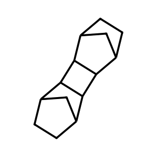 C1CC2CC1C1C2C2C3CCC(C3)C12